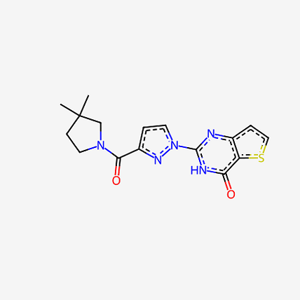 CC1(C)CCN(C(=O)c2ccn(-c3nc4ccsc4c(=O)[nH]3)n2)C1